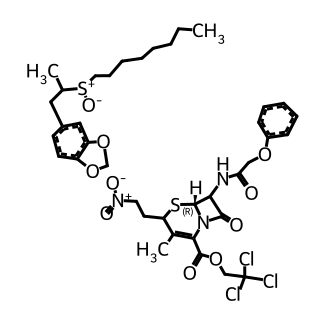 CC1=C(C(=O)OCC(Cl)(Cl)Cl)N2C(=O)C(NC(=O)COc3ccccc3)[C@H]2SC1CC[N+](=O)[O-].CCCCCCCC[S+]([O-])C(C)Cc1ccc2c(c1)OCO2